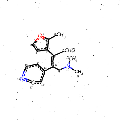 Cc1occc1C(C=O)=C(CN(C)C)c1ccncc1